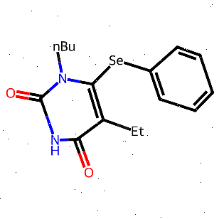 CCCCn1c([Se]c2ccccc2)c(CC)c(=O)[nH]c1=O